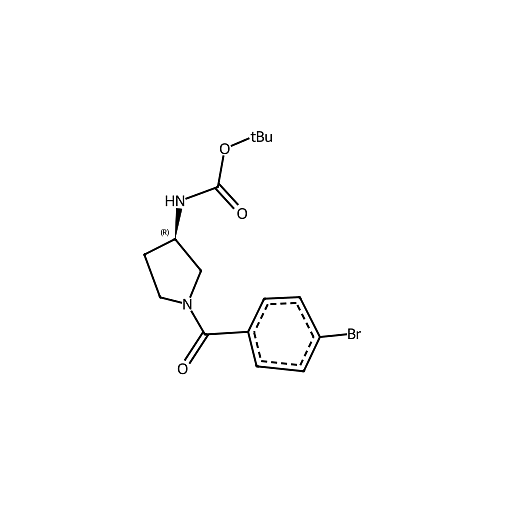 CC(C)(C)OC(=O)N[C@@H]1CCN(C(=O)c2ccc(Br)cc2)C1